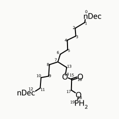 CCCCCCCCCCCCCCCCC(CCCCCCCCCCCCCC)COC(=O)COP